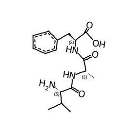 CC(C)[C@H](N)C(=O)N[C@@H](C)C(=O)N[C@@H](Cc1ccccc1)C(=O)O